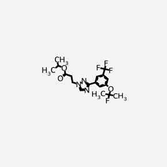 CC(C)OC(=O)CCn1cnc(-c2cc(OC(C)(C)F)cc(C(F)(F)F)c2)n1